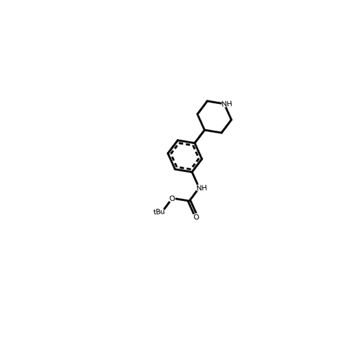 CC(C)(C)OC(=O)Nc1cccc(C2CCNCC2)c1